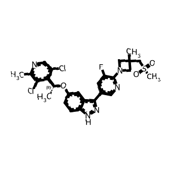 Cc1ncc(Cl)c([C@@H](C)Oc2ccc3[nH]nc(-c4cnc(N5CC(C)(CS(C)(=O)=O)C5)c(F)c4)c3c2)c1Cl